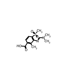 Cc1c(C(=O)O)ccc(S(C)(=O)=O)c1N=CN(C)C